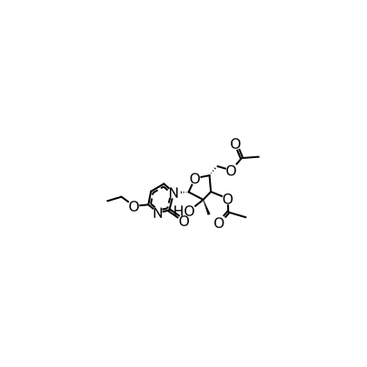 CCOc1ccn([C@@H]2O[C@H](COC(C)=O)C(OC(C)=O)[C@]2(C)O)c(=O)n1